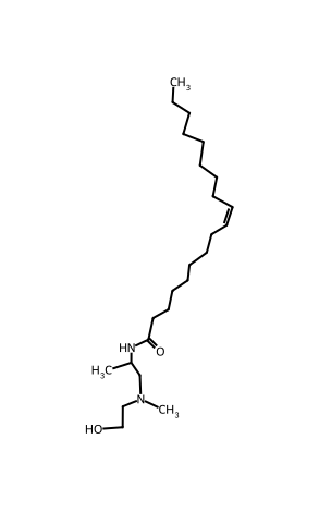 CCCCCCCC/C=C\CCCCCCCC(=O)NC(C)CN(C)CCO